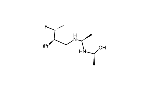 CC(C)[C@H](CN[C@@H](C)N[C@H](C)O)[C@@H](C)F